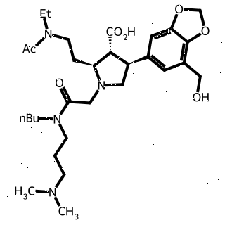 CCCCN(CCCN(C)C)C(=O)CN1C[C@H](c2cc(CO)c3c(c2)OCO3)[C@@H](C(=O)O)[C@@H]1CCN(CC)C(C)=O